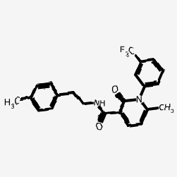 Cc1ccc(CCNC(=O)c2ccc(C)n(-c3cccc(C(F)(F)F)c3)c2=O)cc1